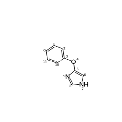 c1ccc(Oc2c[nH]cn2)cc1